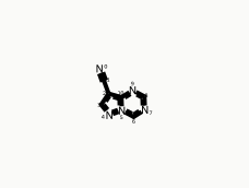 N#Cc1cnn2cncnc12